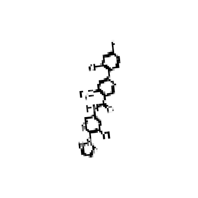 O=C(Nc1cnc(-n2nccn2)c(Cl)c1)c1ccc(-c2ccc(F)cc2Cl)cc1C(F)(F)F